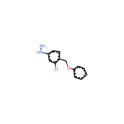 NNc1ccc(COc2ccccc2)c(Cl)c1